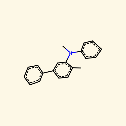 Cc1ccc(-c2ccccc2)cc1N(C)c1ccccc1